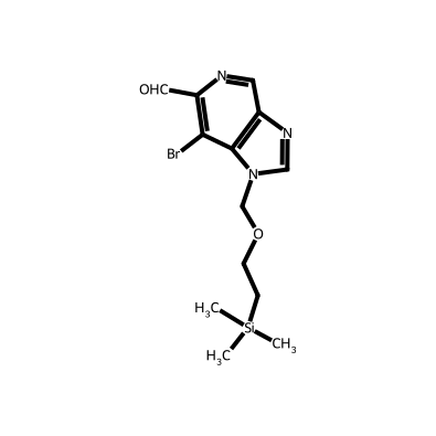 C[Si](C)(C)CCOCn1cnc2cnc(C=O)c(Br)c21